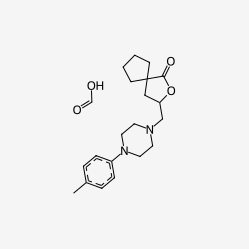 Cc1ccc(N2CCN(CC3CC4(CCCC4)C(=O)O3)CC2)cc1.O=CO